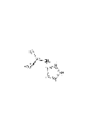 C[C@H](N)C(=O)O.[c]1cc[nH]n1